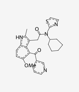 COc1ccc2[nH]c(C)c(CC(=O)N(c3nccs3)C3CCCCC3)c2c1C(=O)c1cccnc1